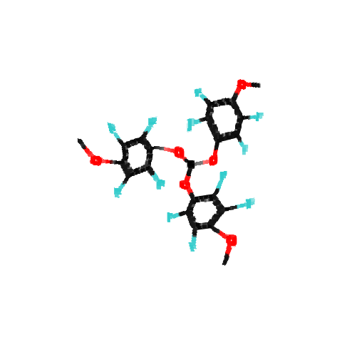 COc1c(F)c(F)c(OB(Oc2c(F)c(F)c(OC)c(F)c2F)Oc2c(F)c(F)c(OC)c(F)c2F)c(F)c1F